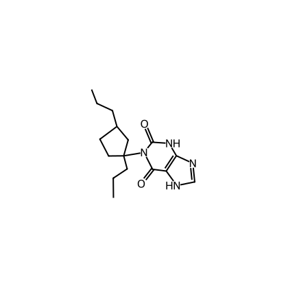 CCCC1CCC(CCC)(n2c(=O)[nH]c3nc[nH]c3c2=O)C1